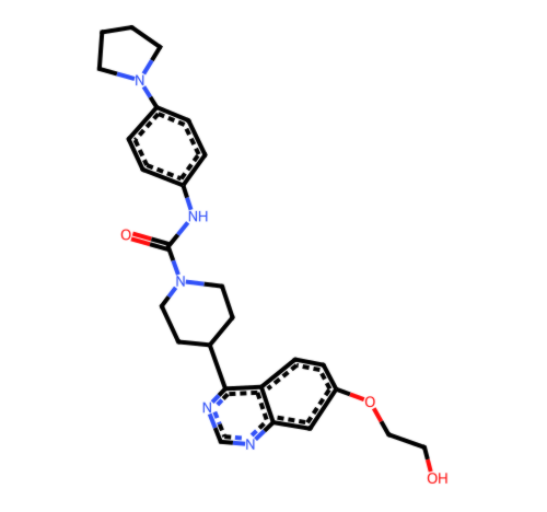 O=C(Nc1ccc(N2CCCC2)cc1)N1CCC(c2ncnc3cc(OCCO)ccc23)CC1